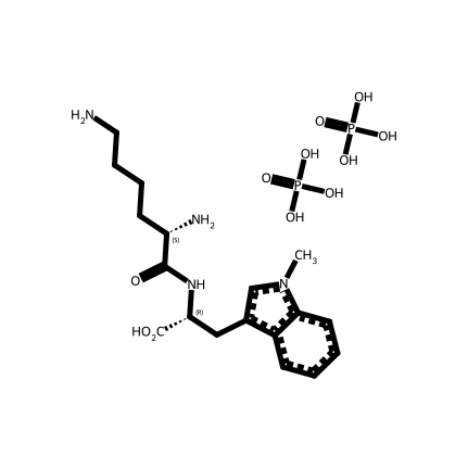 Cn1cc(C[C@@H](NC(=O)[C@@H](N)CCCCN)C(=O)O)c2ccccc21.O=P(O)(O)O.O=P(O)(O)O